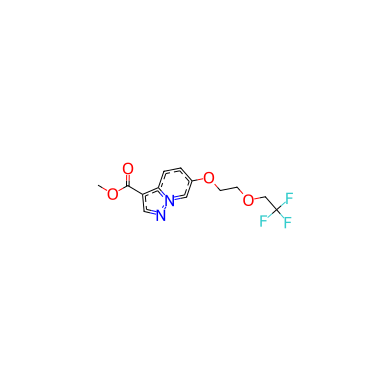 COC(=O)c1cnn2cc(OCCOCC(F)(F)F)ccc12